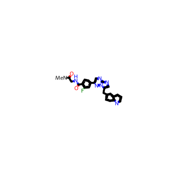 CNC(=O)CNC(=O)c1ccc(-c2cnc3ncc(Cc4ccc5ncccc5c4)n3n2)cc1F